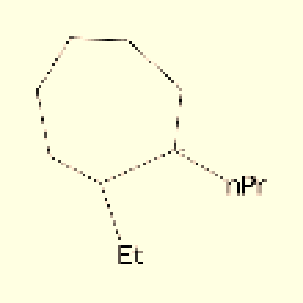 CCC[C]1CCCCCC1CC